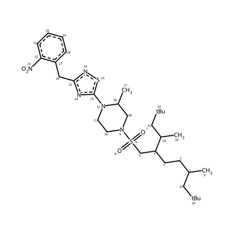 CC(CCC(CS(=O)(=O)N1CCN(c2nc(Cc3ccccc3[N+](=O)[O-])ns2)C(C)C1)C(C)CC(C)(C)C)CC(C)(C)C